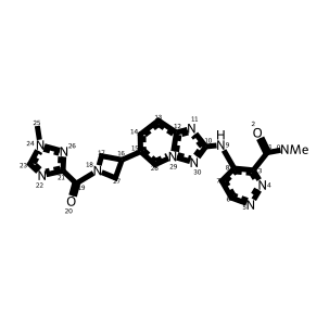 CNC(=O)c1nnccc1Nc1nc2ccc(C3CN(C(=O)c4ncn(C)n4)C3)cn2n1